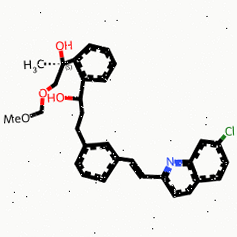 COCOC[C@@](C)(O)c1ccccc1C(O)CCc1cccc(C=Cc2ccc3ccc(Cl)cc3n2)c1